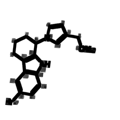 COCc1ccn(C2CCCc3c2[nH]c2ccc(Br)cc32)c1